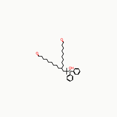 CC(C)(CC(CCCCCCCCC=O)CCCCCCCCC=O)[Si](O)(c1ccccc1)c1ccccc1